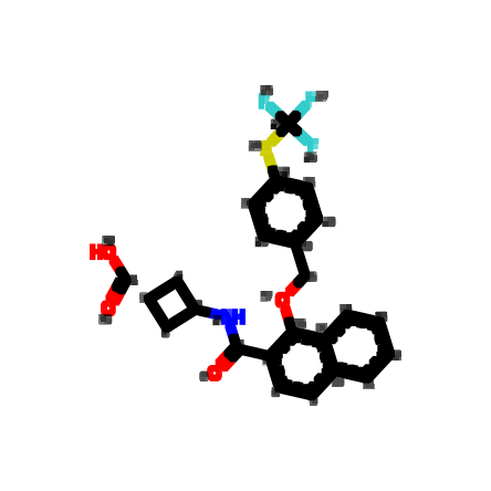 O=C(NC1CCC1)c1ccc2ccccc2c1OCc1ccc(SC(F)(F)F)cc1.O=CO